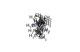 C/C=C/C[C@@H](C)[C@@H](O)[C@@H](C(=O)N[C@@H](CC)C(=O)N(C)[C@H](CSCCN)C(=O)N(C)[C@@H](CC(C)C)C(N)=O)N(C)C(=O)[C@H](C(C)C)N(C)C(=O)[C@H](CC(C)C)N(C)C(=O)CCC(C)C